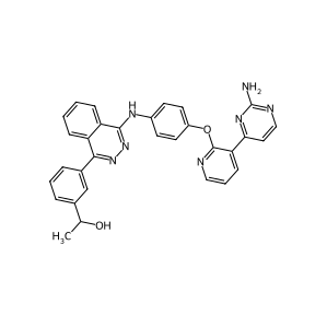 CC(O)c1cccc(-c2nnc(Nc3ccc(Oc4ncccc4-c4ccnc(N)n4)cc3)c3ccccc23)c1